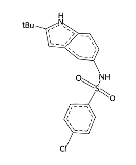 CC(C)(C)c1cc2cc(NS(=O)(=O)c3ccc(Cl)cc3)ccc2[nH]1